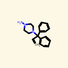 C=CC(c1ccccc1)(c1ccccc1)N1CCN(N)CC1